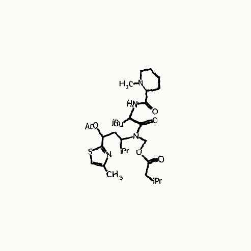 CCC(C)C(NC(=O)C1CCCCN1C)C(=O)N(COC(=O)CC(C)C)C(CC(OC(C)=O)c1nc(C)cs1)C(C)C